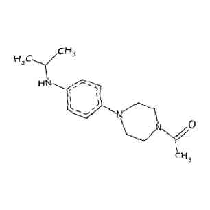 CC(=O)N1CCN(c2ccc(NC(C)C)cc2)CC1